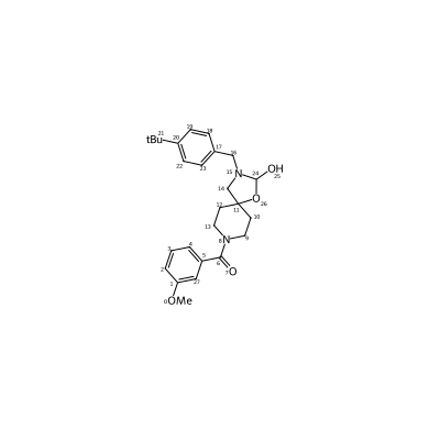 COc1cccc(C(=O)N2CCC3(CC2)CN(Cc2ccc(C(C)(C)C)cc2)C(O)O3)c1